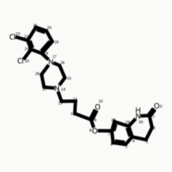 O=C1CCc2ccc(OC(=O)CCCN3CCN(c4cccc(Cl)c4Cl)CC3)cc2N1